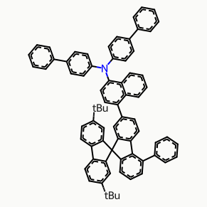 CC(C)(C)c1ccc2c(c1)C1(c3cc(C(C)(C)C)ccc3-2)c2cc(-c3ccc(N(c4ccc(-c5ccccc5)cc4)c4ccc(-c5ccccc5)cc4)c4ccccc34)ccc2-c2c(-c3ccccc3)cccc21